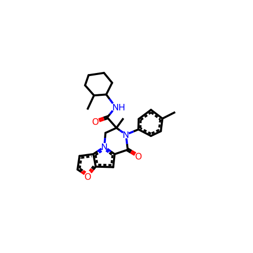 Cc1ccc(N2C(=O)c3cc4occc4n3CC2(C)C(=O)NC2CCCCC2C)cc1